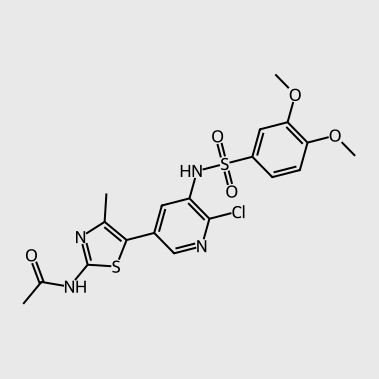 COc1ccc(S(=O)(=O)Nc2cc(-c3sc(NC(C)=O)nc3C)cnc2Cl)cc1OC